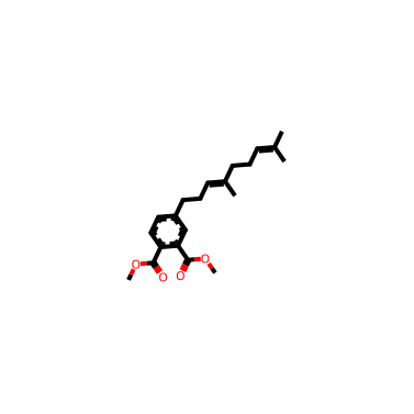 COC(=O)c1ccc(CC/C=C(\C)CCC=C(C)C)cc1C(=O)OC